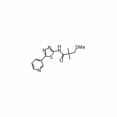 CSCC(C)(C)C(=O)Nc1nnc(-c2cccnc2)s1